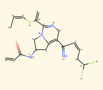 C=CC(=O)NC1CC2=C(C(=N)/C=C\CC(F)F)CN=C(C(=C)S/C=C\C)N2C1